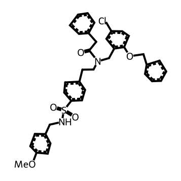 COc1ccc(CNS(=O)(=O)c2ccc(CCN(Cc3cc(Cl)ccc3OCc3ccccc3)C(=O)Cc3ccccc3)cc2)cc1